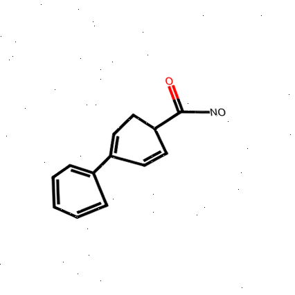 O=NC(=O)C1C=CC(c2ccccc2)=CC1